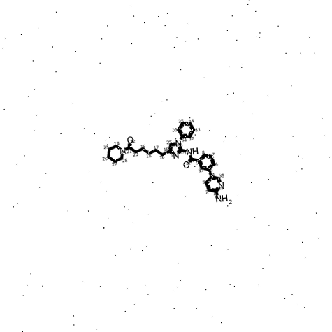 Nc1ccc(-c2cccc(C(=O)Nc3nc(CCCCCC(=O)N4CCCCC4)cn3-c3ccccc3)c2)cn1